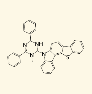 CN1C(c2ccccc2)=NC(c2ccccc2)NC1n1c2ccccc2c2c3sc4ccccc4c3ccc21